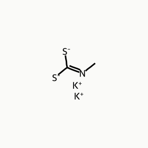 CN=C([S-])[S-].[K+].[K+]